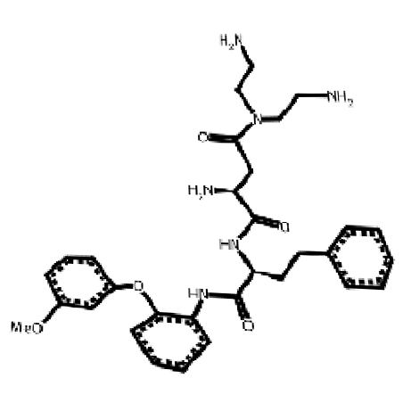 COc1cccc(Oc2ccccc2NC(=O)[C@H](CCc2ccccc2)NC(=O)[C@@H](N)CC(=O)N(CCN)CCN)c1